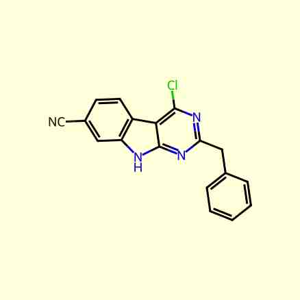 N#Cc1ccc2c(c1)[nH]c1nc(Cc3ccccc3)nc(Cl)c12